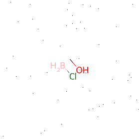 BCl.CO